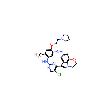 Cc1cc(OCCN2CCCC2)c(N)cc1Nc1ncc(Cl)c(-c2cn3c4c(cccc24)OCC3)n1